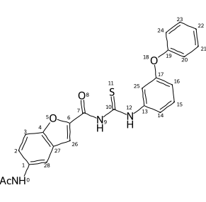 CC(=O)Nc1ccc2oc(C(=O)NC(=S)Nc3cccc(Oc4ccccc4)c3)cc2c1